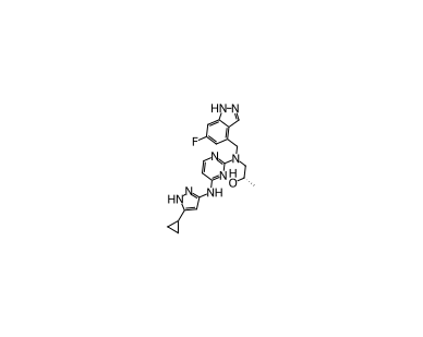 C[C@H](O)CN(Cc1cc(F)cc2[nH]ncc12)c1nccc(Nc2cc(C3CC3)[nH]n2)n1